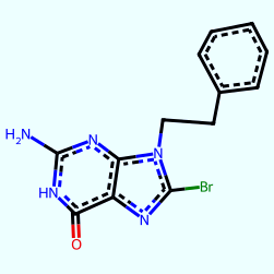 Nc1nc2c(nc(Br)n2CCc2ccccc2)c(=O)[nH]1